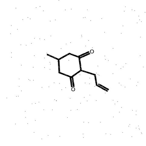 C=CCC1C(=O)CC(C)CC1=O